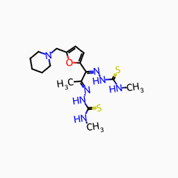 CNC(=S)N/N=C(C)/C(=N\NC(=S)NC)c1ccc(CN2CCCCC2)o1